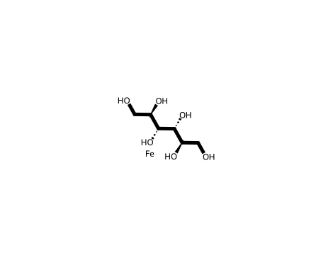 OC[C@@H](O)[C@@H](O)[C@H](O)[C@H](O)CO.[Fe]